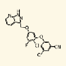 N#Cc1cc(Cl)cc(Oc2cc(OCc3n[nH]c4ncccc34)cc(F)c2Cl)c1